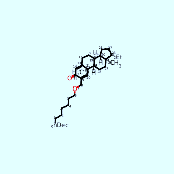 CCCCCCCCCCCCCCCCOCC1=C[C@@]2(C)C(=CC1=O)CC[C@H]1[C@@H]3CC[C@H](CC)[C@@]3(C)CC[C@@H]12